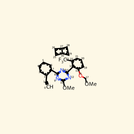 C#Cc1ccccc1-c1nc(OC)nc(-c2c(OCOC)cccc2C(F)(F)F)n1.c1cc2ccc1-2